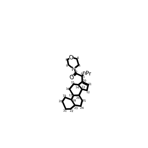 CCCC(C(=O)N1CCOCC1)C1=CCC2C1CCC1C3CCCCC3CCC21